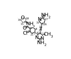 Cc1nc(N)nc(-c2ccc(C(=O)NC3CCOC3)c(Cl)c2)c1C#Cc1ccc(N)nc1